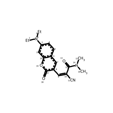 CCN(CC)c1ccc2cc(C=C(C#N)C(=O)N(C)C)c(=O)oc2c1